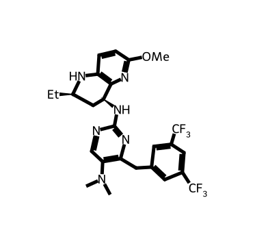 CC[C@@H]1C[C@H](Nc2ncc(N(C)C)c(Cc3cc(C(F)(F)F)cc(C(F)(F)F)c3)n2)c2nc(OC)ccc2N1